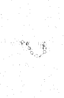 COc1c(C#N)ccc(N2C(=O)C(C)(C)N(c3ccc(-c4ccc(OC5CCN(C(=O)COc6ccc7c(c6)C(=O)N(C6CCC(=O)NC6=O)C7=O)CC5)cc4)nc3)C2=S)c1F